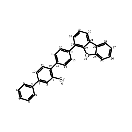 Brc1cc(-c2ccccc2)ccc1-c1ccc(-c2cccc3c2oc2ccccc23)cc1